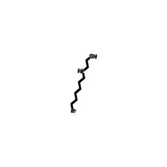 OCCPCCCCCCBr